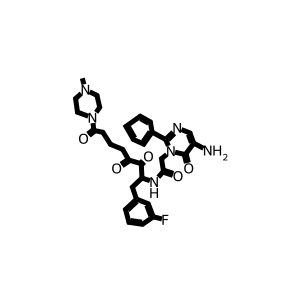 CN1CCN(C(=O)CCCC(=O)C(=O)C(Cc2cccc(F)c2)NC(=O)Cn2c(-c3ccccc3)ncc(N)c2=O)CC1